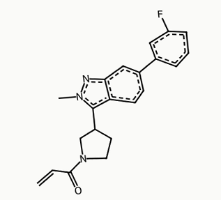 C=CC(=O)N1CCC(c2c3ccc(-c4cccc(F)c4)cc3nn2C)C1